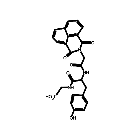 O=C(O)CNC(=O)C(Cc1ccc(O)cc1)NC(=O)CN1C(=O)c2cccc3cccc(c23)C1=O